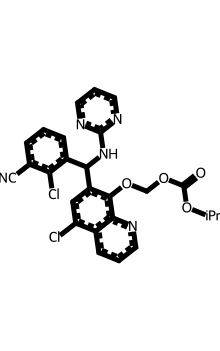 CC(C)OC(=O)OCOc1c(C(Nc2ncccn2)c2cccc(C#N)c2Cl)cc(Cl)c2cccnc12